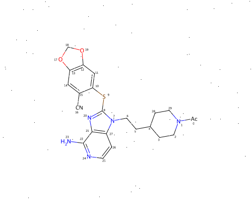 CC(=O)N1CCC(CCn2c(Sc3cc4c(cc3C#N)OCO4)nc3c(N)nccc32)CC1